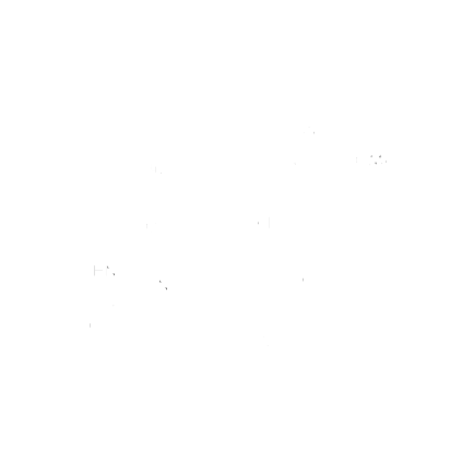 COc1ccc(Oc2c(Cl)cc(N3CC(=O)NC3=O)cc2Cl)cc1C(=O)c1ccc(C(C)(C)C)cc1